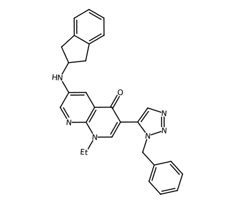 CCn1cc(-c2cnnn2Cc2ccccc2)c(=O)c2cc(NC3Cc4ccccc4C3)cnc21